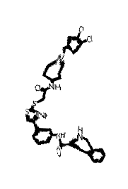 O=C(CSc1nc(-c2cccc(NC(=O)[C@@H]3Cc4ccccc4CN3)c2)cs1)NC1CCN(Cc2ccc(Cl)c(Cl)c2)CC1